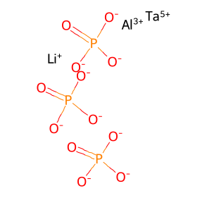 O=P([O-])([O-])[O-].O=P([O-])([O-])[O-].O=P([O-])([O-])[O-].[Al+3].[Li+].[Ta+5]